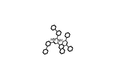 C1=C(c2cccc(-c3ccccc3)c2)NC(c2cccc(-c3ccccc3)c2)NC1c1cc2ccccc2c2c1CC(c1ccccc1)C=C2c1ccccc1